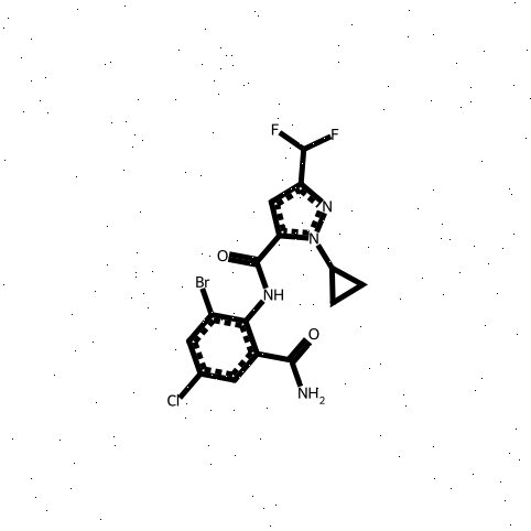 NC(=O)c1cc(Cl)cc(Br)c1NC(=O)c1cc(C(F)F)nn1C1CC1